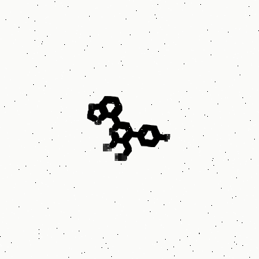 CC(C)c1nc(-c2cccc3c2OCO3)cc(-c2ccc(F)cc2)c1CO